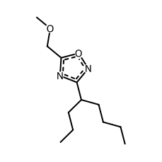 CCCCC(CCC)c1noc(COC)n1